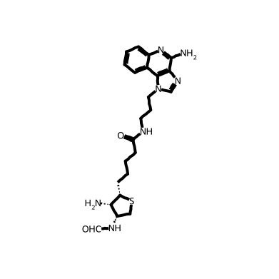 Nc1nc2ccccc2c2c1ncn2CCCNC(=O)CCCC[C@@H]1SC[C@H](NC=O)[C@@H]1N